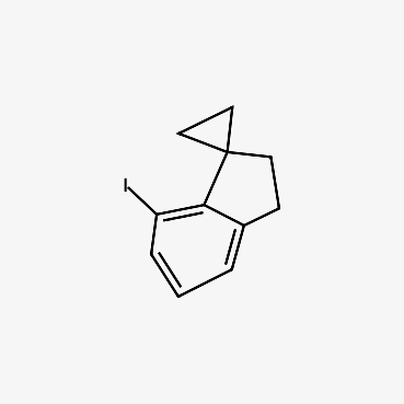 Ic1cccc2c1C1(CC2)CC1